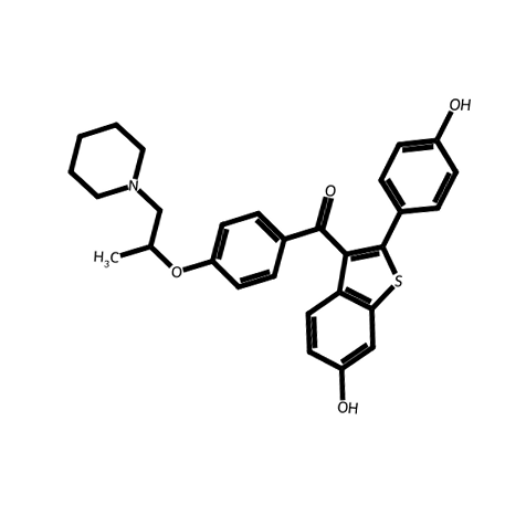 CC(CN1CCCCC1)Oc1ccc(C(=O)c2c(-c3ccc(O)cc3)sc3cc(O)ccc23)cc1